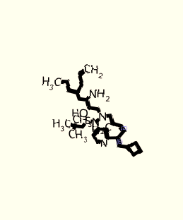 C=CCC(CCC)CC(N)C(O)CN(CC(=C)/C=C\C(=C/C1CCC1)c1ccccn1)NSCC(C)(C)C